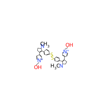 CN=C1CCC(c2cc[n+](CCO)cc2)=C1c1ccc(SSc2ccc(C3=C(c4cc[n+](CCO)cc4)CCC3=NC)cc2)cc1